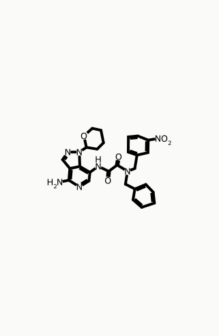 Nc1ncc(NC(=O)C(=O)N(Cc2ccccc2)Cc2cccc([N+](=O)[O-])c2)c2c1cnn2C1CCCCO1